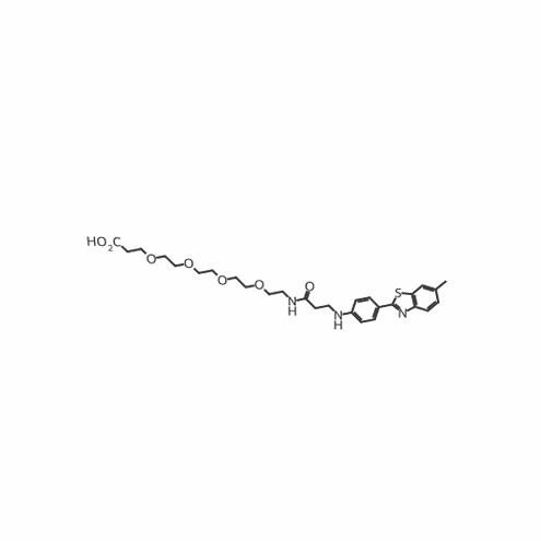 Cc1ccc2nc(-c3ccc(NCCC(=O)NCCOCCOCCOCCOCCC(=O)O)cc3)sc2c1